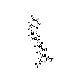 O=C(Nc1cc(C(F)(F)F)cc(C(F)(F)F)c1)N1CC(N2CCN(Cc3cccc(F)c3)CC2)C1